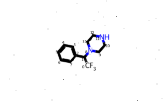 FC(F)(F)C(c1ccccc1)N1CCNCC1